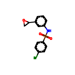 O=S(=O)(Nc1cccc(C2CO2)c1)c1ccc(Br)cc1